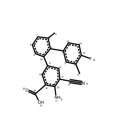 Cc1cc(-c2c(C)cccc2-c2cc(C#N)c(N)c(C(=O)O)c2)ccc1F